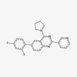 Fc1ccc(-c2ccc3nc(-c4cccnc4)nc(N4CCCC4)c3c2)c(F)c1